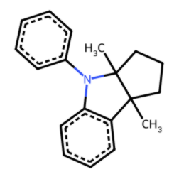 CC12CCCC1(C)N(c1ccccc1)c1ccccc12